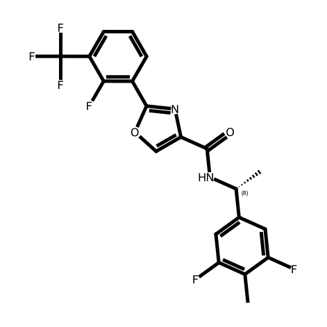 Cc1c(F)cc([C@@H](C)NC(=O)c2coc(-c3cccc(C(F)(F)F)c3F)n2)cc1F